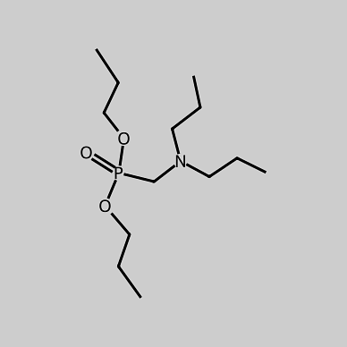 CCCOP(=O)(CN(CCC)CCC)OCCC